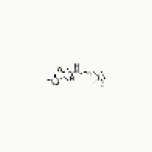 Cc1ccc(-c2cnc(NCCSCc3nc[nH]c3C)[nH]c2=O)s1